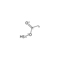 CC(=O)OS